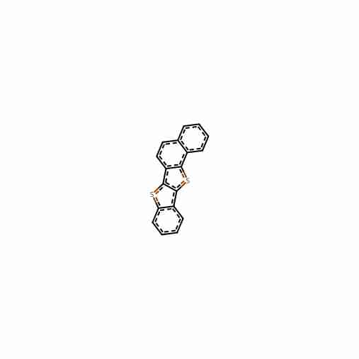 c1ccc2c(c1)ccc1c2sc2c3ccccc3sc12